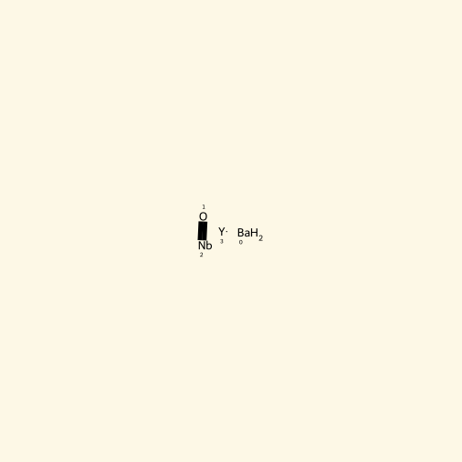 [BaH2].[O]=[Nb].[Y]